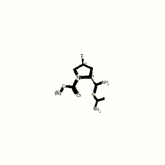 BC(C)/N=C(\N)[C@@H]1C[C@H](F)CN1C(=O)OC(C)(C)C